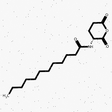 CCCCCCCCCCCC(=O)N[C@@H]1CCC(=O)OC1=O